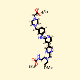 COCCN(CCNC(=O)OC(C)(C)C)Cc1ncc(-c2ccnc(Nc3cccc(CN4CCN(CC(=O)OC(C)(C)C)CC4)c3)c2)cn1